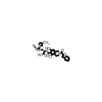 C[C@H]1CCN(/C(=N\C#N)NC[C@H](NC(=O)c2c(Cl)cc3c(c2Cl)CCN(C(=O)C2=CC4C=CC=CC4O2)C3)C(=O)O)C1